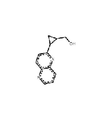 OCC1CC1c1ccc2ncccc2n1